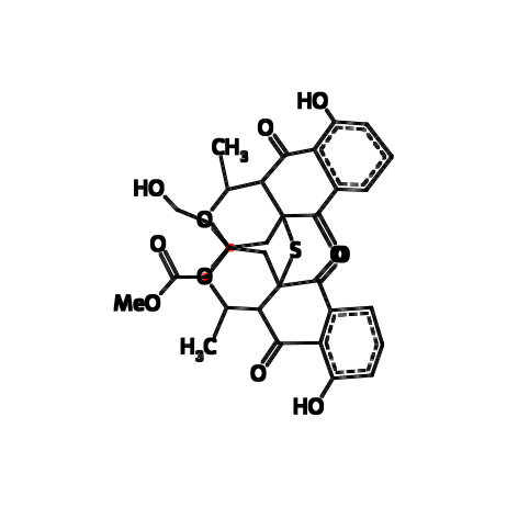 COC(=O)CC1CC2(SC34CC(CCO)OC(C)C3C(=O)c3c(O)cccc3C4=O)C(=O)c3cccc(O)c3C(=O)C2C(C)O1